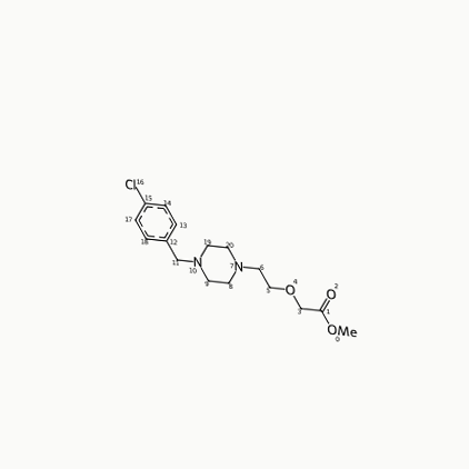 COC(=O)COCCN1CCN(Cc2ccc(Cl)cc2)CC1